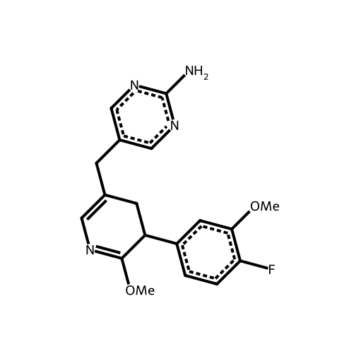 COC1=NC=C(Cc2cnc(N)nc2)CC1c1ccc(F)c(OC)c1